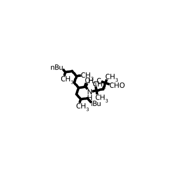 CCCCC(C)CC(C)CC(CC(C)CC(C)CC)C(=O)NC(C)(C)CC(C)(C)C=O